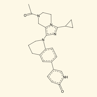 CC(=O)N1CCn2c(C3CC3)nc(N3CCCc4cc(-c5ccc(=O)[nH]c5)ccc43)c2C1